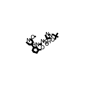 COc1cc(-c2cccc(C)c2NC(=O)N=[SH](=O)c2cnn3c2OCC(C)(C)C3)ccn1